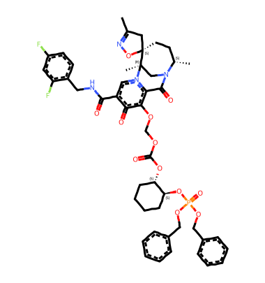 CC1=NO[C@@]2(CC[C@H](C)N3C[C@@]2(C)n2cc(C(=O)NCc4ccc(F)cc4F)c(=O)c(OCOC(=O)O[C@H]4CCCC[C@@H]4OP(=O)(OCc4ccccc4)OCc4ccccc4)c2C3=O)C1